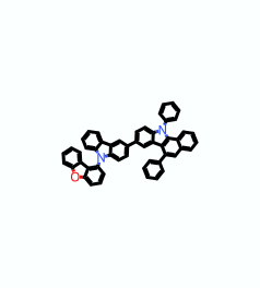 c1ccc(-c2cc3ccccc3c3c2c2cc(-c4ccc5c(c4)c4ccccc4n5-c4cccc5oc6ccccc6c45)ccc2n3-c2ccccc2)cc1